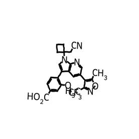 Cc1noc(C)c1-c1cnc2c(c1)c(-c1ccc(C(=O)O)cc1OC(F)(F)F)cn2C1(CC#N)CCC1